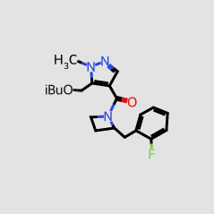 CC(C)COCc1c(C(=O)N2CCC2Cc2ccccc2F)cnn1C